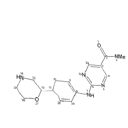 CNC(=O)c1cnc(NC2=CCC([C@H]3CNCCO3)C=C2)nc1